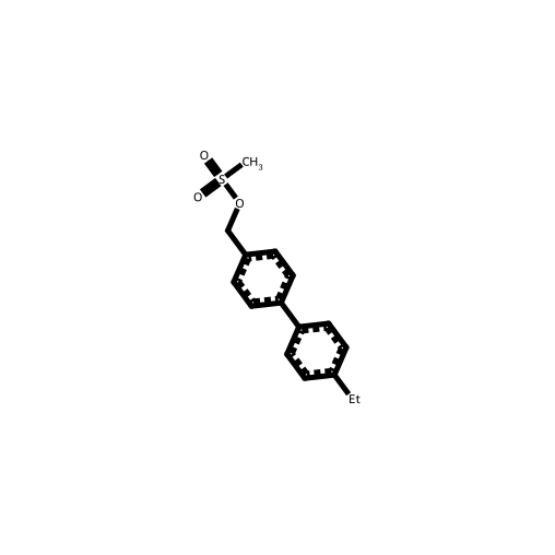 CCc1ccc(-c2ccc(COS(C)(=O)=O)cc2)cc1